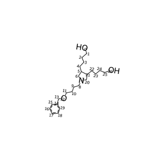 OCCCCC1CN(CCCCOCc2ccccc2)CC1CCCCO